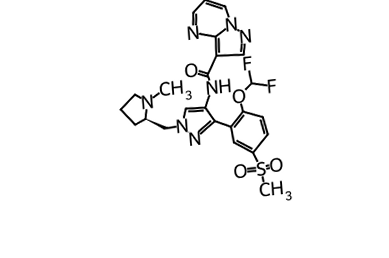 CN1CCC[C@@H]1Cn1cc(NC(=O)c2cnn3cccnc23)c(-c2cc(S(C)(=O)=O)ccc2OC(F)F)n1